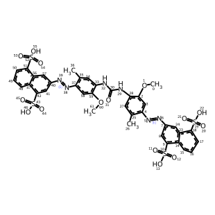 COc1cc(/N=N/c2cc(S(=O)(=O)O)c3cccc(S(=O)(=O)O)c3c2)c(C)cc1NC(=O)Nc1cc(C)c(/N=N/c2cc(S(=O)(=O)O)c3cccc(S(=O)(=O)O)c3c2)cc1OC